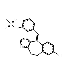 CS(=O)(=O)Nc1cccc(/C=C2/c3ccc(Cl)cc3CCc3ncsc32)c1